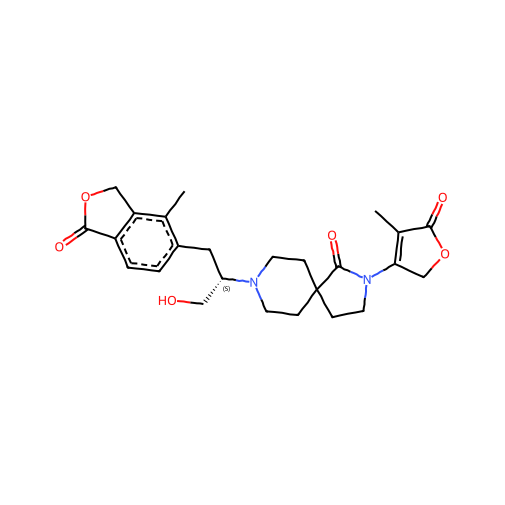 CC1=C(N2CCC3(CCN([C@H](CO)Cc4ccc5c(c4C)COC5=O)CC3)C2=O)COC1=O